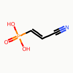 N#CC=CP(=O)(O)O